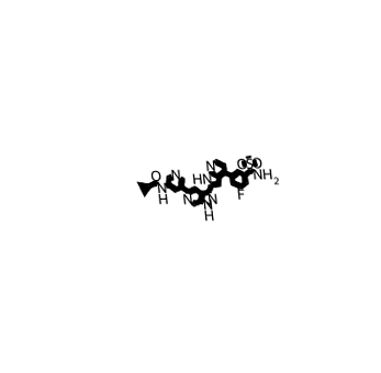 CS(=O)(=O)C(N)c1cc(F)cc(-c2ccnc3[nH]c(-c4n[nH]c5cnc(-c6cncc(NC(=O)C7CC7)c6)cc45)cc23)c1